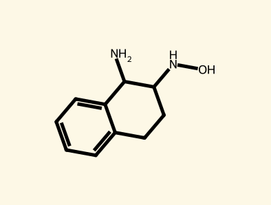 NC1c2ccccc2CCC1NO